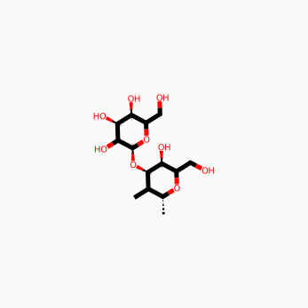 CC1[C@@H](O[C@@H]2OC(CO)[C@H](O)[C@H](O)C2O)[C@@H](O)C(CO)O[C@@H]1C